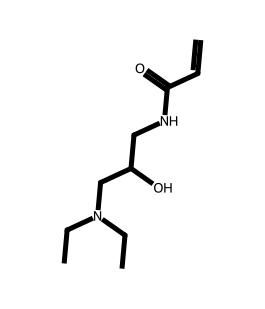 C=CC(=O)NCC(O)CN(CC)CC